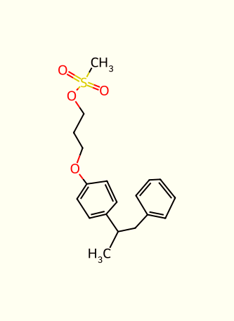 CC(Cc1ccccc1)c1ccc(OCCCOS(C)(=O)=O)cc1